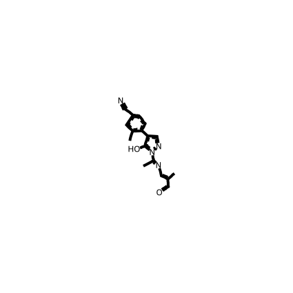 C/C(C=O)=C\N=C(/C)n1ncc(-c2ccc(C#N)cc2C)c1O